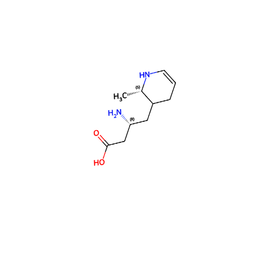 C[C@@H]1NC=CCC1C[C@@H](N)CC(=O)O